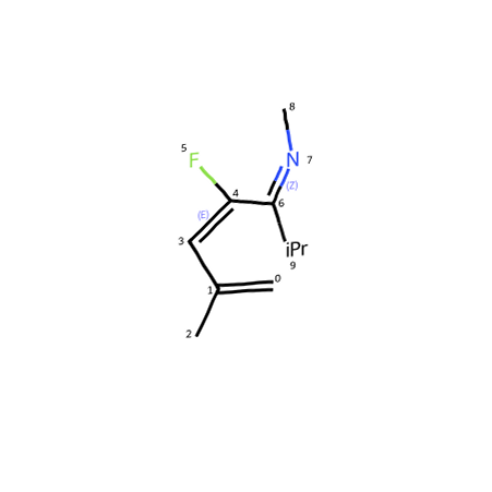 C=C(C)/C=C(F)\C(=N/C)C(C)C